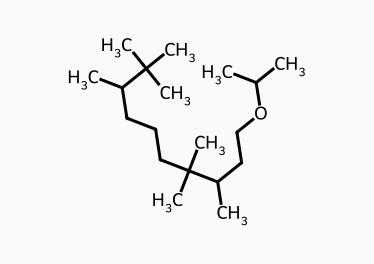 CC(C)OCCC(C)C(C)(C)CCCC(C)C(C)(C)C